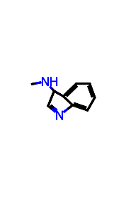 CNC1C=Nc2ccccc21